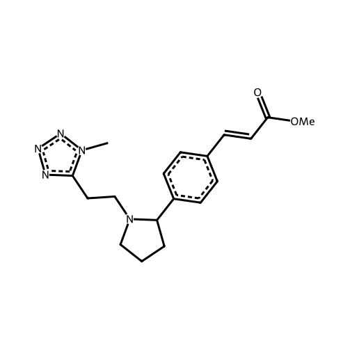 COC(=O)C=Cc1ccc(C2CCCN2CCc2nnnn2C)cc1